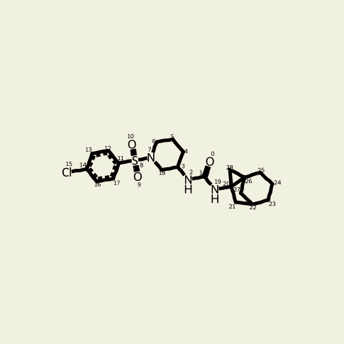 O=C(NC1CCCN(S(=O)(=O)c2ccc(Cl)cc2)C1)NC12CC3CCCC1(C3)C2